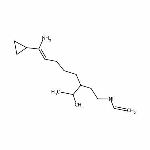 C=CNCCC(CCC/C=C(\N)C1CC1)C(C)C